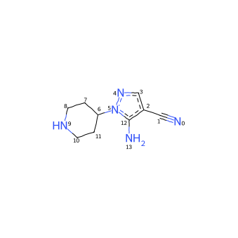 N#Cc1cnn(C2CCNCC2)c1N